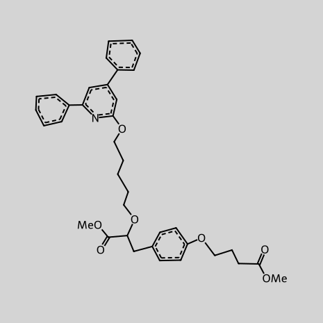 COC(=O)CCCOc1ccc(CC(OCCCCCOc2cc(-c3ccccc3)cc(-c3ccccc3)n2)C(=O)OC)cc1